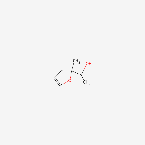 CC(O)C1(C)CC=CO1